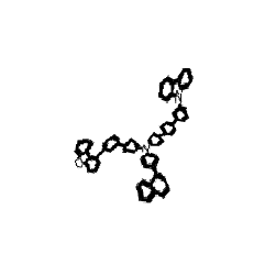 c1cc(-c2ccc(N(c3ccc(-c4ccc(-c5cccc(-n6c7ccccc7c7ccccc76)c5)cc4)cc3)c3ccc(-c4cccc5ccccc45)cc3)cc2)cc(-c2cccc3oc4ccccc4c23)c1